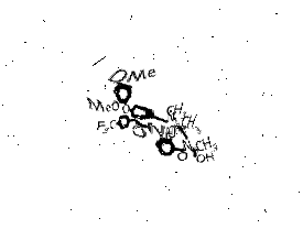 COc1ccc(Oc2ccc(CN(C)C[C@H]3Oc4c(NC(=O)Cc5ccc(C(F)(F)F)cc5)cccc4C(=O)N([C@@H](C)CO)C[C@H]3C)cc2)c(OC)c1